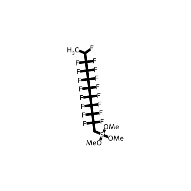 CO[Si](CC(F)(F)C(F)(F)C(F)(F)C(F)(F)C(F)(F)C(F)(F)C(F)(F)C(F)(F)C(C)F)(OC)OC